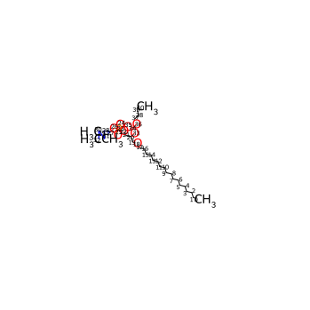 CCCCCCCCCCCCCCCCCCOCC(COP(=O)([O-])OCC[N+](C)(C)C)OC(=O)OCCCC